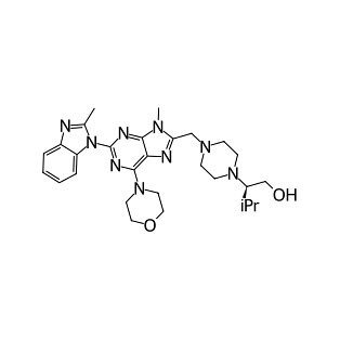 Cc1nc2ccccc2n1-c1nc(N2CCOCC2)c2nc(CN3CCN([C@@H](CO)C(C)C)CC3)n(C)c2n1